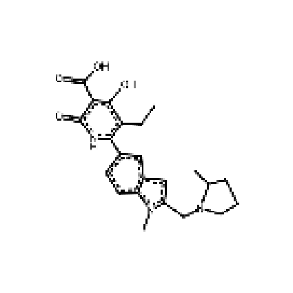 CCc1c(-c2ccc3c(c2)cc(CN2CCCC2C)n3C)[nH]c(=O)c(C(=O)O)c1O